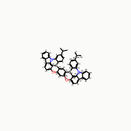 CC(C)c1ccc2c(c1)-n1c3ccccc3c3ccc4c(c31)B2c1cc2c(cc1O4)Oc1ccc3c4ccccc4n4c3c1B2c1ccc(C(C)C)cc1-4